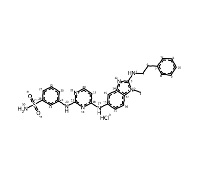 Cl.Cn1c(NCCc2ccccc2)nc2cc(Nc3ccnc(Nc4cccc(S(N)(=O)=O)c4)n3)ccc21